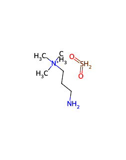 C[N+](C)(C)CCCN.O=[SH2]=O